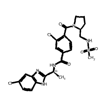 C[C@H](NC(=O)c1ccc(C(=O)N2CCCC2CNS(C)(=O)=O)c(Cl)c1)c1nc2cc(Cl)ccc2[nH]1